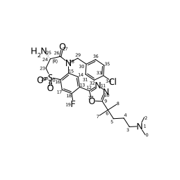 CN(C)CCCC(C)(C)c1nnc(-c2cc3c(cc2F)S(=O)(=O)C[C@H](N)C(=O)N3Cc2ccc(Cl)cc2)o1